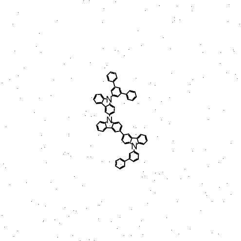 c1ccc(-c2cccc(-n3c4ccccc4c4cc(-c5ccc6c(c5)c5ccccc5n6-c5ccc6c(c5)c5ccccc5n6-c5cc(-c6ccccc6)cc(-c6ccccc6)c5)ccc43)c2)cc1